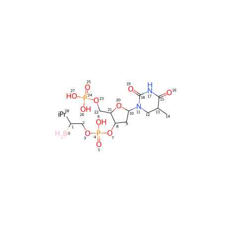 BC(COP(=O)(O)OC1CC(N2CC(C)C(=O)NC2=O)OC1COP(=O)(O)O)C(C)C